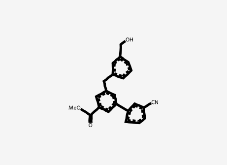 COC(=O)c1cc(Cc2cccc(CO)c2)cc(-c2cccc(C#N)c2)c1